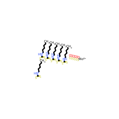 CCCCCCNC(=S)[S-].CCCCCCNC(=S)[S-].CCCCCCNC(=S)[S-].CCCCCCNC(=S)[S-].CCCCCCNC(=S)[S-].CCCCCCNC(=S)[S-].O=S.O=S.O=S.O=S.O=S.O=S.[Mo+6]